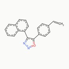 C=Cc1ccc(-c2onnc2-c2cccc3ccccc23)cc1